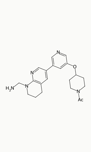 CC(=O)N1CCC(Oc2cncc(-c3cnc4c(c3)CCCN4CN)c2)CC1